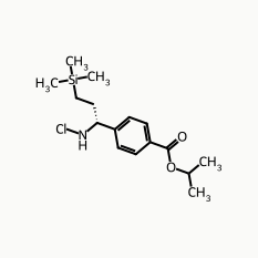 CC(C)OC(=O)c1ccc([C@@H](CC[Si](C)(C)C)NCl)cc1